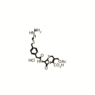 CC(=O)OCC1=C(C(=O)O)N2C(=O)C(NC(=O)Cc3ccc(CSC=NNN)cc3)C2SC1.Cl